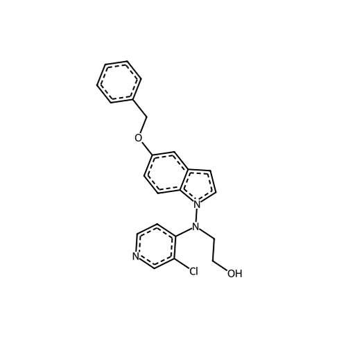 OCCN(c1ccncc1Cl)n1ccc2cc(OCc3ccccc3)ccc21